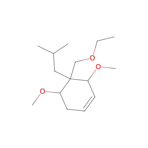 CCOCC1(CC(C)C)C(OC)C=CCC1OC